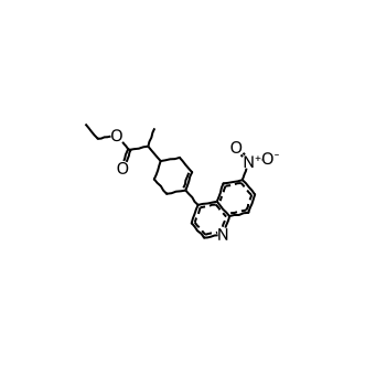 CCOC(=O)C(C)C1CC=C(c2ccnc3ccc([N+](=O)[O-])cc23)CC1